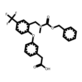 CN(Cc1cc(C(F)(F)F)ccc1Oc1cccc(CC(=O)O)c1)C(=O)OCc1ccccc1